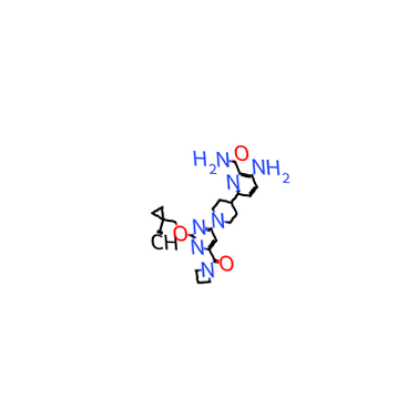 C#CC1(COc2nc(C(=O)N3CCC3)cc(N3CCC(c4ccc(N)c(C(N)=O)n4)CC3)n2)CC1